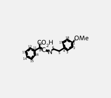 COc1ccc(CCN=C=C(C(=O)O)c2ccccc2)cc1